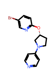 Brc1ccc(O[C@@H]2CCN(c3ccncc3)C2)nc1